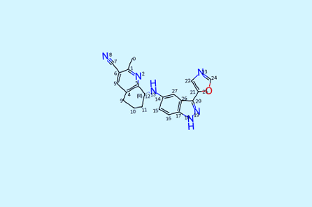 Cc1nc2c(cc1C#N)CCC[C@H]2Nc1ccc2[nH]nc(-c3cnco3)c2c1